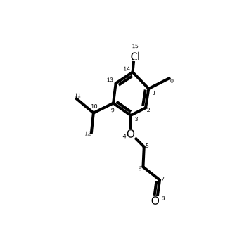 Cc1cc(OCCC=O)c(C(C)C)cc1Cl